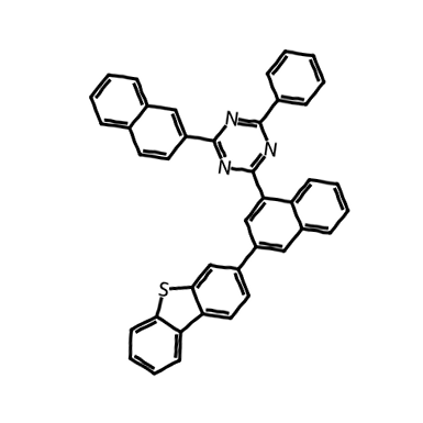 c1ccc(-c2nc(-c3ccc4ccccc4c3)nc(-c3cc(-c4ccc5c(c4)sc4ccccc45)cc4ccccc34)n2)cc1